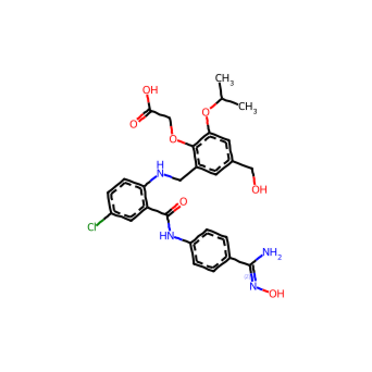 CC(C)Oc1cc(CO)cc(CNc2ccc(Cl)cc2C(=O)Nc2ccc(/C(N)=N/O)cc2)c1OCC(=O)O